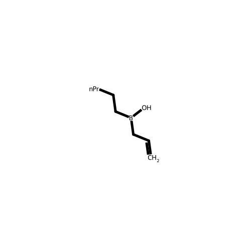 C=CCB(O)CCCCC